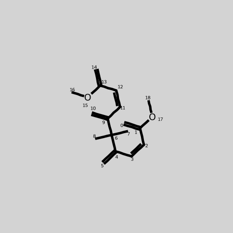 C=C(/C=C\C(=C)C(C)(C)C(=C)/C=C\C(=C)OC)OC